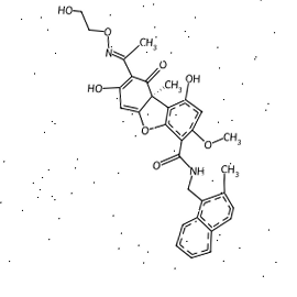 COc1cc(O)c2c(c1C(=O)NCc1c(C)ccc3ccccc13)OC1=CC(O)=C(C(C)=NOCCO)C(=O)[C@]12C